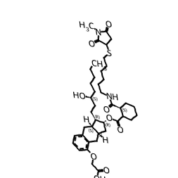 CCCCC[C@H](O)CC[C@@H]1[C@H]2Cc3cccc(OCC(=O)O)c3C[C@H]2C[C@H]1OC(=O)C1CCCC[C@@H]1C(=O)NCCCCCCSC1CC(=O)N(C)C1=O